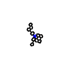 c1ccc(-c2ccc(N(c3ccc(-c4cccc5c4ccc4ccccc45)cc3)c3ccccc3-c3cccc4cccc(-c5ccccc5)c34)cc2)cc1